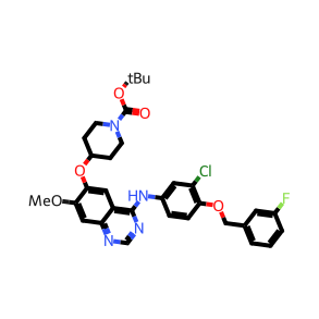 COc1cc2ncnc(Nc3ccc(OCc4cccc(F)c4)c(Cl)c3)c2cc1OC1CCN(C(=O)OC(C)(C)C)CC1